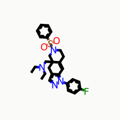 CCN(CC)CC12Cc3cnn(-c4ccc(F)cc4)c3C=C1CCN(S(=O)(=O)c1ccccc1)C2